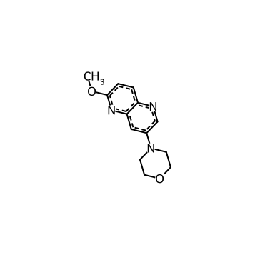 COc1ccc2ncc(N3CCOCC3)cc2n1